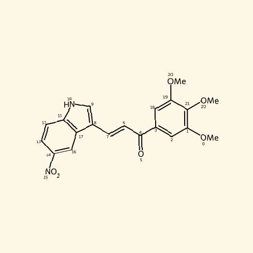 COc1cc(C(=O)/C=C/c2c[nH]c3ccc([N+](=O)[O-])cc23)cc(OC)c1OC